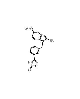 CCC(C)c1cc2cc(OC)ccc2n1Cc1cccc(-c2noc(=O)[nH]2)n1